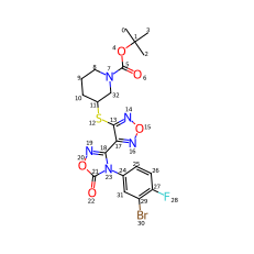 CC(C)(C)OC(=O)N1CCCC(Sc2nonc2-c2noc(=O)n2-c2ccc(F)c(Br)c2)C1